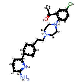 CCC(=O)c1cc(Cl)ccc1N1CCN(CCc2ccc(-c3cccc(N)n3)cc2)CC1